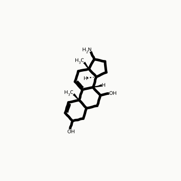 C[C@]12C=CC(O)CC1CC(O)[C@@H]1C2=CC[C@]2(C)C(N)CC[C@@H]12